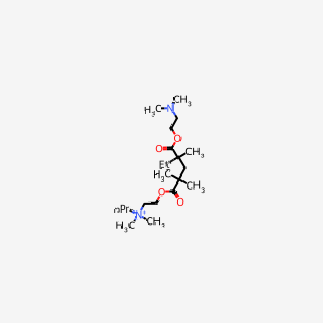 CCC[N+](C)(C)CCOC(=O)C(C)(C)CC(C)(CC)C(=O)OCCN(C)C